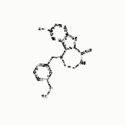 COc1cccc(CN2CCNC(=O)c3sc4ccc(Cl)cc4c32)c1